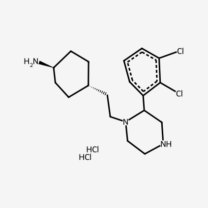 Cl.Cl.N[C@H]1CC[C@H](CCN2CCNCC2c2cccc(Cl)c2Cl)CC1